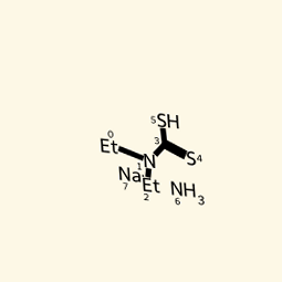 CCN(CC)C(=S)S.N.[Na]